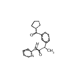 CC(C(=O)Nc1ccccn1)c1cccc(C(=O)C2CCCC2)c1